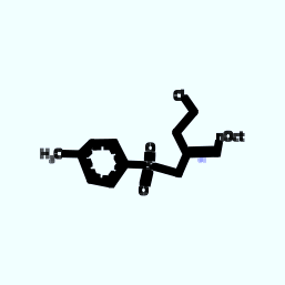 CCCCCCCC/C=C(\CCCl)CS(=O)(=O)c1ccc(C)cc1